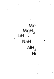 [AlH3].[LiH].[MgH2].[Mn].[NaH].[Ni]